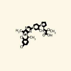 COC(C[C@@H]1CCCN1C1CCN(c2cnc3c(C)nn([C@H](C)c4ccc(Cl)cc4Cl)c3n2)CC1C)C(=O)O